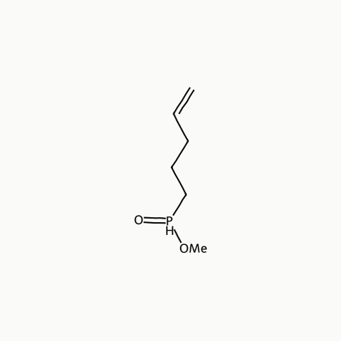 C=CCCC[PH](=O)OC